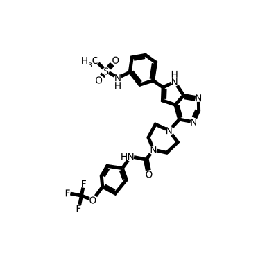 CS(=O)(=O)Nc1cccc(-c2cc3c(N4CCN(C(=O)Nc5ccc(OC(F)(F)F)cc5)CC4)ncnc3[nH]2)c1